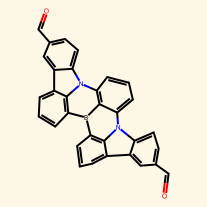 O=Cc1ccc2c(c1)c1cccc3c1n2-c1cccc2c1B3c1cccc3c4cc(C=O)ccc4n-2c13